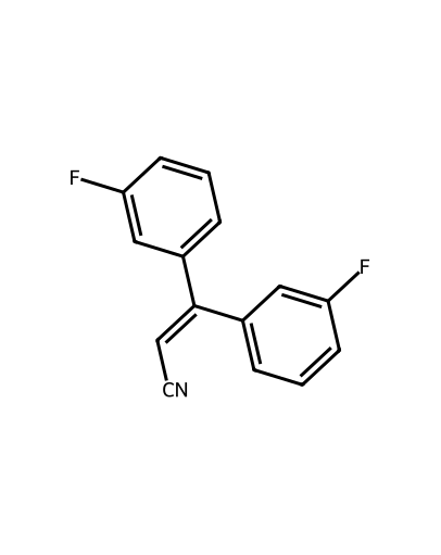 N#CC=C(c1cccc(F)c1)c1cccc(F)c1